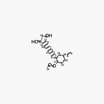 C=C.C=C.C=C.C=C.C=C.C=C.C=C.COOc1ccccc1.OCCO